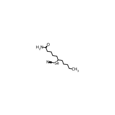 CCCCCC(CCCCC(N)=O)[Se]C#N